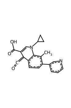 Cc1c(-c2cccnc2)ccc2c1N(C1CC1)C=C(C(=O)O)C2=C=O